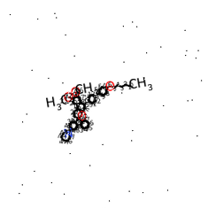 CCCCCCOc1ccc(-c2ccc(-c3cc4c(c5cc(OC)c(OC)cc35)C=CC(c3ccccc3)(c3ccc(N5CCCCC5)cc3)O4)cc2)cc1